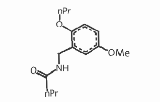 CCCOc1ccc(OC)cc1CNC(=O)CCC